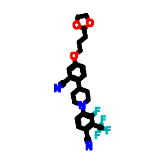 N#Cc1cc(OCCCC2OCCO2)ccc1C1CCN(c2ccc(C#N)c(C(F)(F)F)c2F)CC1